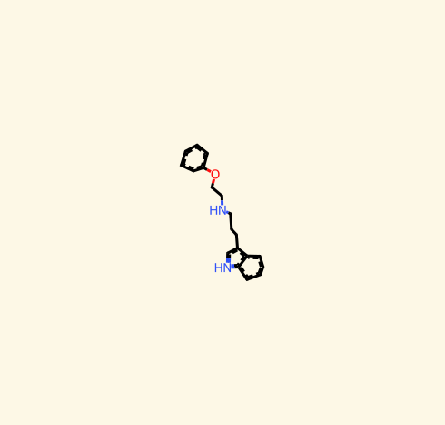 c1ccc(OCCNCCCc2c[nH]c3ccccc23)cc1